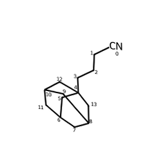 N#CCCCC12CC3CC(CC(C3)C1)C2